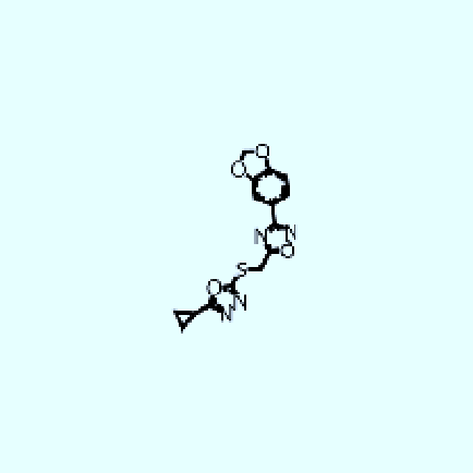 c1cc2c(cc1-c1noc(CSc3nnc(C4CC4)o3)n1)OCO2